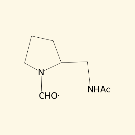 CC(=O)NCC1CCCN1[C]=O